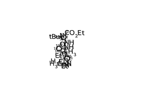 CCOC(=O)c1cc(NC(=O)NC(C)c2ccccc2C(CC)Oc2ccc3nnc(C(C)(C)CC)n3c2)cc(C(C)(C)C)n1